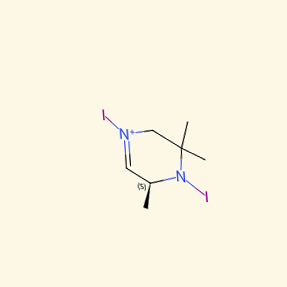 C[C@H]1C=[N+](I)CC(C)(C)N1I